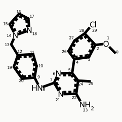 COc1cc(-c2nc(Nc3ccc(Cn4cccn4)cc3)nc(N)c2C)ccc1Cl